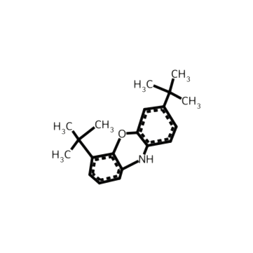 CC(C)(C)c1ccc2c(c1)Oc1c(cccc1C(C)(C)C)N2